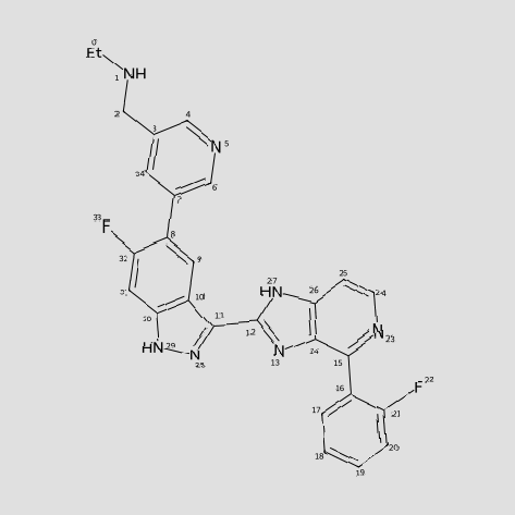 CCNCc1cncc(-c2cc3c(-c4nc5c(-c6ccccc6F)nccc5[nH]4)n[nH]c3cc2F)c1